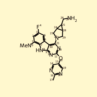 CNc1cc(F)cc2c1[nH]c1nc(Oc3cnc(C)nc3)nc(N3CC4C(CN)C4C3)c12